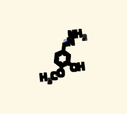 COc1ccc(/C=N/N)cc1O